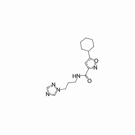 O=C(NCCCn1cncn1)c1cc(C2CCCCC2)on1